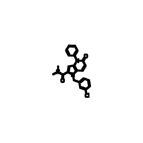 CN(C)C(=O)c1cc2c(ccc(=O)n2-c2ccccc2)n1Cc1cccc(Cl)c1